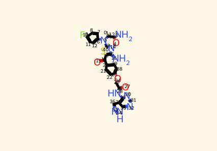 C[C@H](C(N)=O)N(c1ccc(F)cc1)c1nc(N)c(C(=O)c2ccc(OCC(=O)Nc3ncnc4[nH]ncc34)cc2)s1